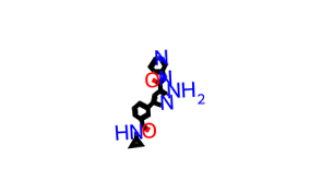 Nc1ncc(-c2cccc(C(=O)NC3CC3)c2)cc1-c1nc2cnccc2o1